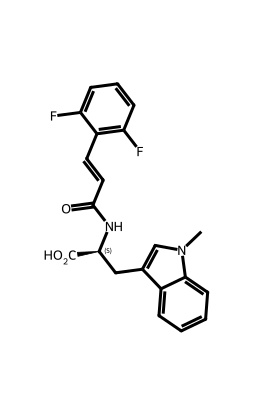 Cn1cc(C[C@H](NC(=O)C=Cc2c(F)cccc2F)C(=O)O)c2ccccc21